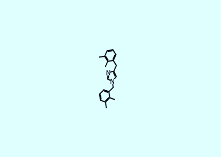 Cc1cccc(Cc2cn(Cc3cccc(C)c3C)cn2)c1C